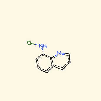 ClNc1cccc2cccnc12